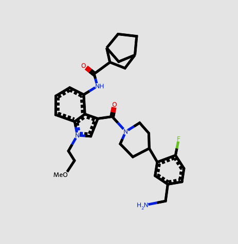 COCCn1cc(C(=O)N2CCC(c3cc(CN)ccc3F)CC2)c2c(NC(=O)C3CC4CCC3C4)cccc21